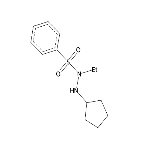 CCN(NC1CCCC1)S(=O)(=O)c1ccccc1